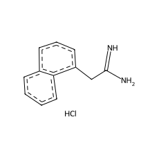 Cl.N=C(N)Cc1cccc2ccccc12